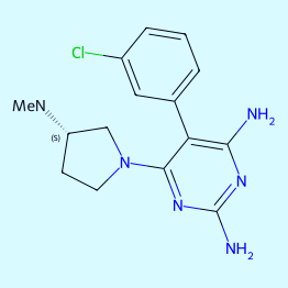 CN[C@H]1CCN(c2nc(N)nc(N)c2-c2cccc(Cl)c2)C1